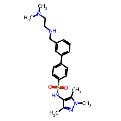 Cc1nn(C)c(C)c1NS(=O)(=O)c1ccc(-c2cccc(CNCCN(C)C)c2)cc1